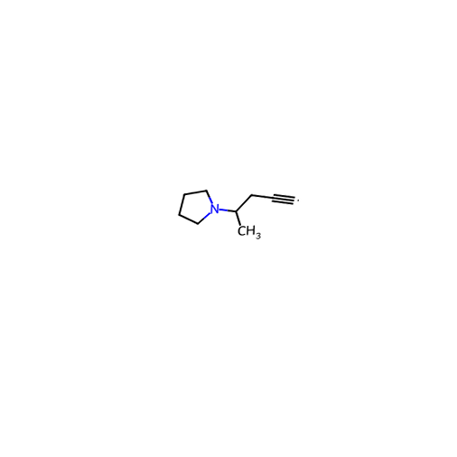 [C]#CCC(C)N1CCCC1